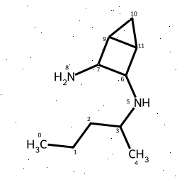 CCCC(C)NC1C(N)C2CC21